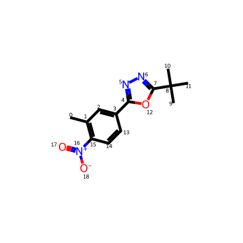 Cc1cc(-c2nnc(C(C)(C)C)o2)ccc1[N+](=O)[O-]